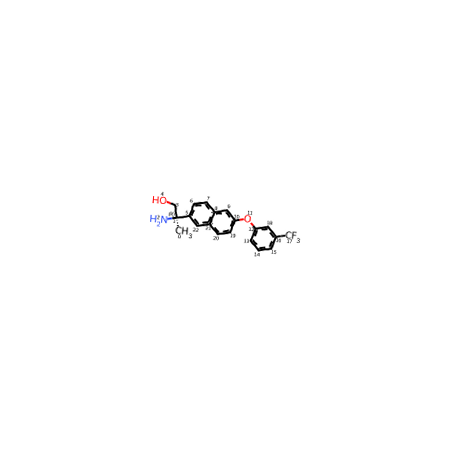 C[C@](N)(CO)c1ccc2cc(Oc3cccc(C(F)(F)F)c3)ccc2c1